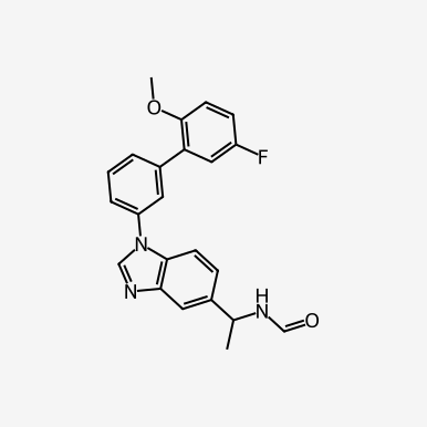 COc1ccc(F)cc1-c1cccc(-n2cnc3cc(C(C)NC=O)ccc32)c1